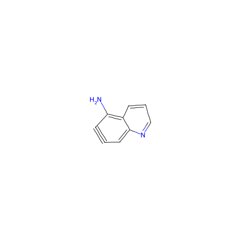 Nc1c#ccc2ncccc12